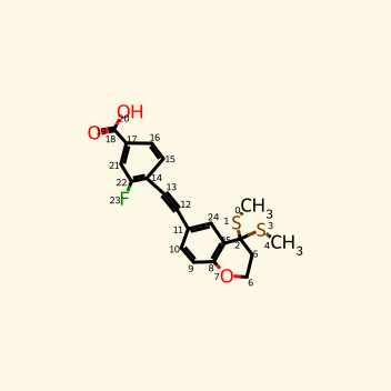 CSC1(SC)CCOc2ccc(C#Cc3ccc(C(=O)O)cc3F)cc21